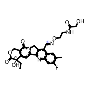 CC[C@@]1(O)C(=O)OCc2c1cc1n(c2=O)Cc2c-1nc1cc(F)c(C)cc1c2/C=N/OCCNC(=O)CO